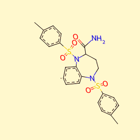 Cc1ccc(S(=O)(=O)N2CCC(C(N)=O)N(S(=O)(=O)c3ccc(C)cc3)c3c[c]ccc32)cc1